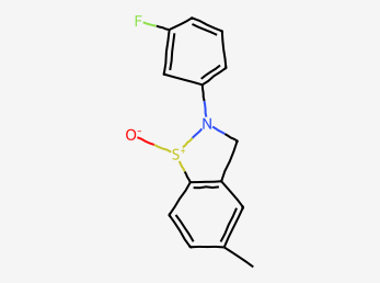 Cc1ccc2c(c1)CN(c1cccc(F)c1)[S+]2[O-]